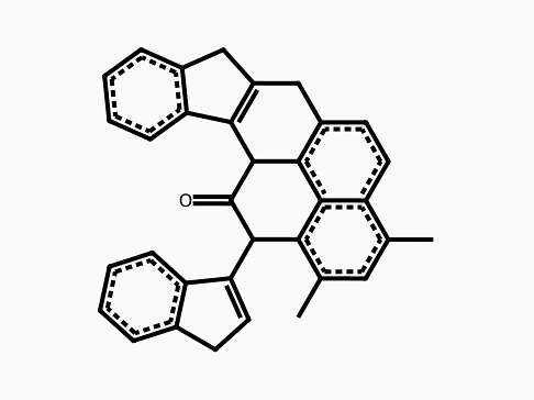 Cc1cc(C)c2ccc3c4c2c1C(C1=CCc2ccccc21)C(=O)C4C1=C(Cc2ccccc21)C3